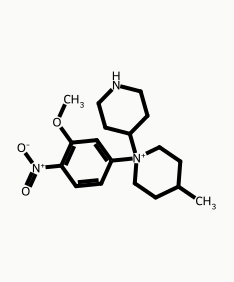 COc1cc([N+]2(C3CCNCC3)CCC(C)CC2)ccc1[N+](=O)[O-]